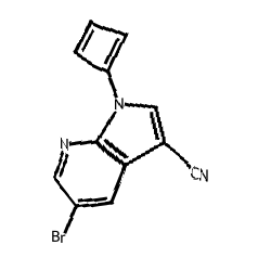 N#Cc1cn(C2=CC=C2)c2ncc(Br)cc12